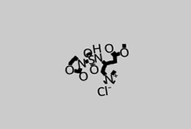 COC(=O)CC(C[N+](C)(C)C)NS(=O)(=O)N1CCOC1=O.[Cl-]